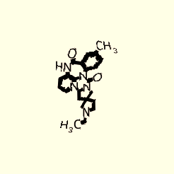 CCN1CCC2(CCN(C(=O)N3c4ccc(C)cc4C(=O)Nc4cccnc43)C2)C1